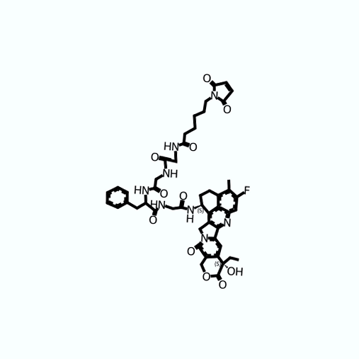 CC[C@@]1(O)C(=O)OCc2c1cc1n(c2=O)Cc2c-1nc1cc(F)c(C)c3c1c2[C@@H](NC(=O)CNC(=O)C(Cc1ccccc1)NC(=O)CNC(=O)CNC(=O)CCCCCN1C(=O)C=CC1=O)CC3